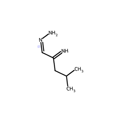 CC(C)CC(=N)/C=N\N